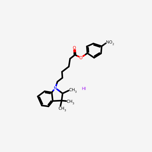 CC1N(CCCCCC(=O)Oc2ccc([N+](=O)[O-])cc2)c2ccccc2C1(C)C.I